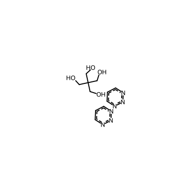 OCC(CO)(CO)CO.c1cnnnc1.c1cnnnc1